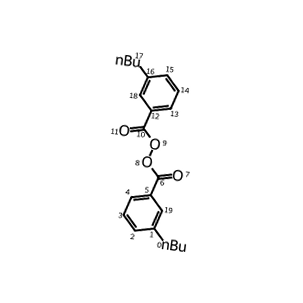 CCCCc1cccc(C(=O)OOC(=O)c2cccc(CCCC)c2)c1